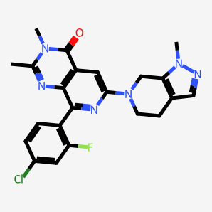 Cc1nc2c(-c3ccc(Cl)cc3F)nc(N3CCc4cnn(C)c4C3)cc2c(=O)n1C